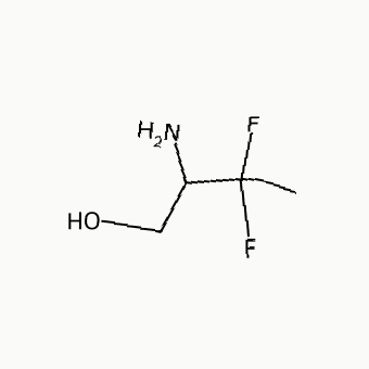 CC(F)(F)C(N)CO